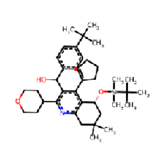 CC1(C)Cc2nc(C3CCOCC3)c(C(O)c3ccc(C(C)(C)C)cc3)c(C3=CCCC3)c2[C@H](O[Si](C)(C)C(C)(C)C)C1